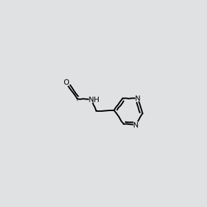 O=[C]NCc1cncnc1